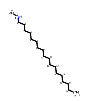 [2H]NCCCCCCCCCCCCCCCCCC